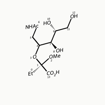 CC[C@@](OC)(OC(CNC(C)=O)[C@H](O)[C@H](O)CO)C(=O)O